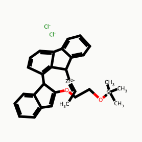 C[CH]=[Zr+2][CH]1c2ccccc2-c2cccc(C3C(OCCO[Si](C)(C)C)=Cc4ccccc43)c21.[Cl-].[Cl-]